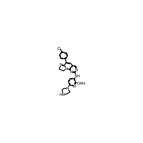 COc1nc(N2CCNCC2)ccc1Nc1ncc2c(n1)N1CCN=C1C(c1ccc(Cl)cc1)=C2